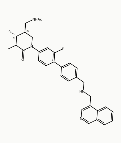 CC(=O)NC[C@H]1CN(c2ccc(-c3ccc(CNCc4cncc5ccccc45)cc3)c(F)c2)C(=O)C(C)[C@@H]1C